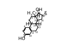 C[C@]12CC[C@@H]3c4ccc(O)cc4CC[C@H]3[C@@H]1C[C@@H](F)[C@H]2O